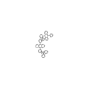 C1=CC2=C(c3ccccc3)c3ccccc3C(c3cccc4c3oc3cc(-c5c6c(c(-c7cccc(-n8c9ccccc9c9ccccc98)c7)c7ccccc57)CCC=C6)ccc34)C2C=C1